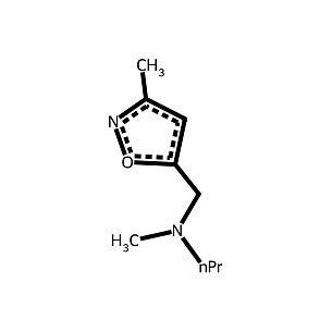 CCCN(C)Cc1cc(C)no1